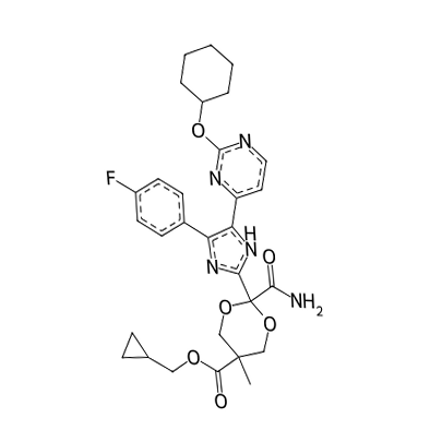 CC1(C(=O)OCC2CC2)COC(C(N)=O)(c2nc(-c3ccc(F)cc3)c(-c3ccnc(OC4CCCCC4)n3)[nH]2)OC1